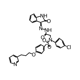 O=C(CN(c1ccc(Cl)cc1)S(=O)(=O)c1ccc(OCCCc2cccnc2)cc1)N/N=C1\C(=O)Nc2ccccc21